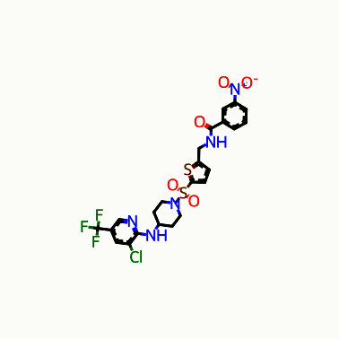 O=C(NCc1ccc(S(=O)(=O)N2CCC(Nc3ncc(C(F)(F)F)cc3Cl)CC2)s1)c1cccc([N+](=O)[O-])c1